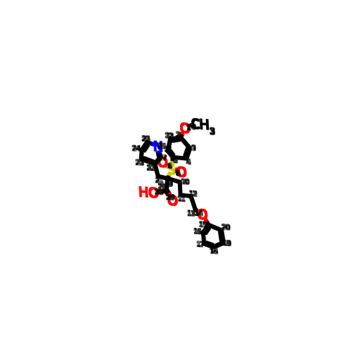 COc1ccc(S(=O)(=O)C(CCCCOc2ccccc2)(Cc2cccnc2)C(=O)O)cc1